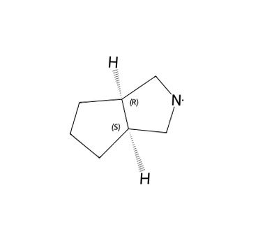 C1C[C@@H]2C[N]C[C@@H]2C1